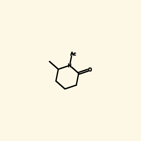 CC(=O)N1C(=O)CCCC1C